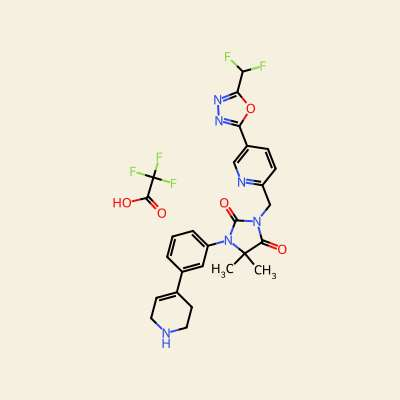 CC1(C)C(=O)N(Cc2ccc(-c3nnc(C(F)F)o3)cn2)C(=O)N1c1cccc(C2=CCNCC2)c1.O=C(O)C(F)(F)F